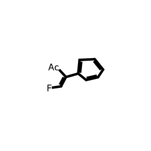 CC(=O)C(=CF)c1ccccc1